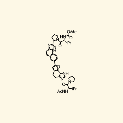 COC(=O)N[C@H](C(=O)N1CCC[C@H]1c1nc2ccc3cc(-c4cc5c(o4)-c4[nH]c([C@@H]6CCCN6C(=O)[C@@H](NC(C)=O)C(C)C)nc4CC5)ccc3c2[nH]1)C(C)C